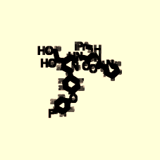 CC(C)C[C@H](NC(=O)c1ccccn1)C(=O)Nc1cc([C@H](O)CO)cc(-c2ccc(Oc3ccc(F)cc3)cc2)n1